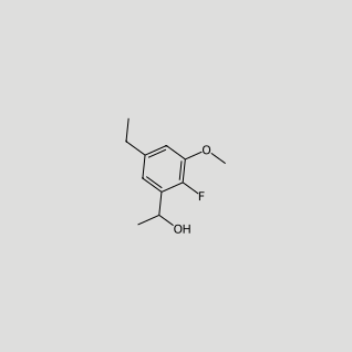 CCc1cc(OC)c(F)c(C(C)O)c1